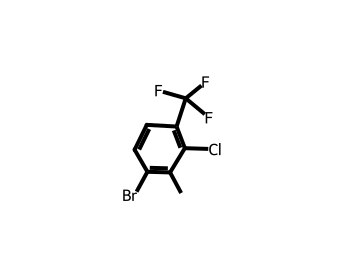 Cc1c(Br)ccc(C(F)(F)F)c1Cl